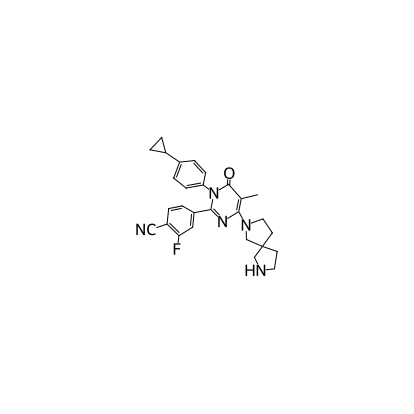 Cc1c(N2CCC3(CCNC3)C2)nc(-c2ccc(C#N)c(F)c2)n(-c2ccc(C3CC3)cc2)c1=O